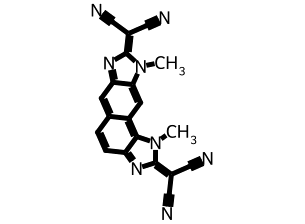 Cn1c(=C(C#N)C#N)nc2cc3ccc4nc(=C(C#N)C#N)n(C)c4c3cc21